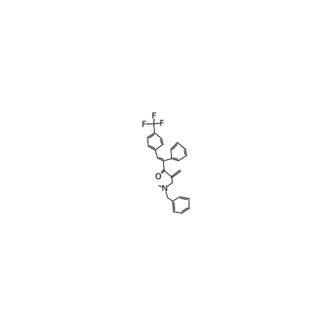 C=C(CN(C)Cc1ccccc1)C(=O)/C(=C/c1ccc(C(F)(F)F)cc1)c1ccccc1